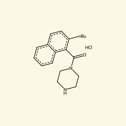 CCCCc1ccc2ccccc2c1C(=O)N1CCNCC1.Cl